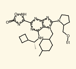 CCOCC1CCCN1c1nc2nc(-c3nc(=O)o[nH]3)nc(N[C@H](C)C3CCC3)c2n1CC1CCC(C)CC1